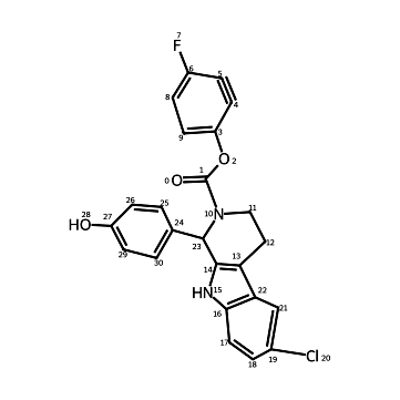 O=C(Oc1c#cc(F)cc1)N1CCc2c([nH]c3ccc(Cl)cc23)C1c1ccc(O)cc1